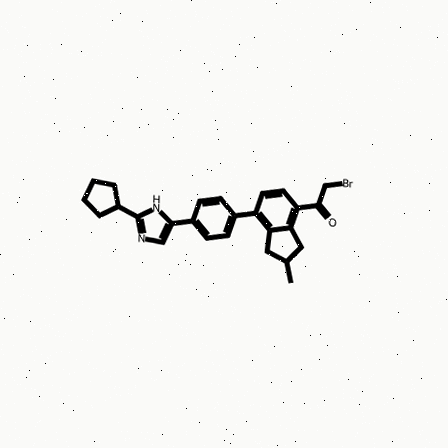 CC1Cc2c(C(=O)CBr)ccc(-c3ccc(-c4cnc(C5CCCC5)[nH]4)cc3)c2C1